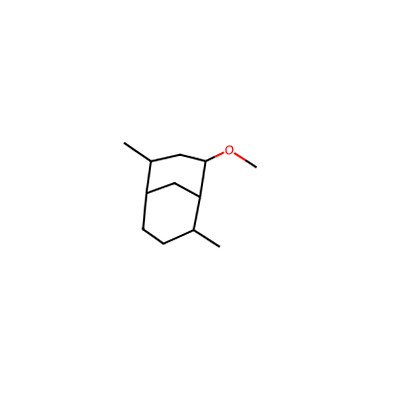 COC1CC(C)C2CCC(C)C1C2